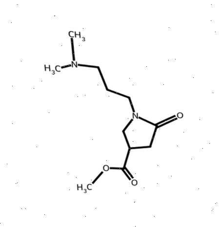 COC(=O)C1CC(=O)N(CCCN(C)C)C1